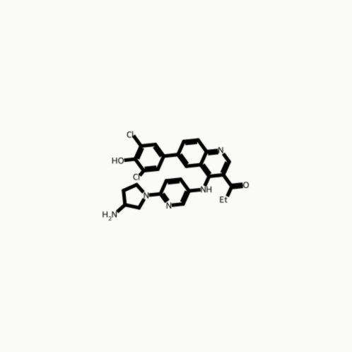 CCC(=O)c1cnc2ccc(-c3cc(Cl)c(O)c(Cl)c3)cc2c1Nc1ccc(N2CCC(N)C2)nc1